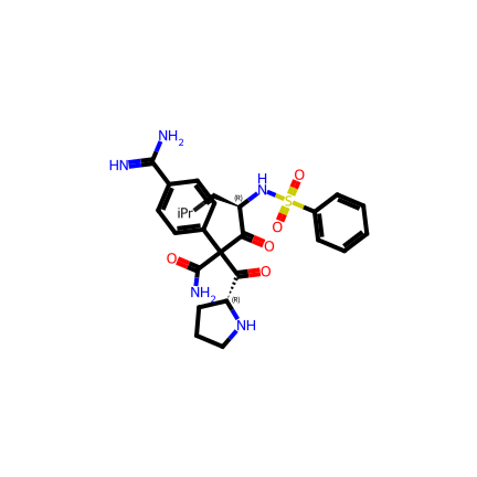 CC(C)C[C@@H](NS(=O)(=O)c1ccccc1)C(=O)C(C(N)=O)(C(=O)[C@H]1CCCN1)c1ccc(C(=N)N)cc1